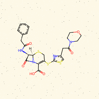 O=C(Cc1ccccc1)N[C@@H]1C(=O)N2C(C(=O)O)=C(Sc3nc(CC(=O)N4CCOCC4)cs3)CS[C@H]12